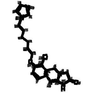 O=C1CN2Cc3c(ccc(OCCCCCCn4ccnc4)c3Cl)N=C2N1